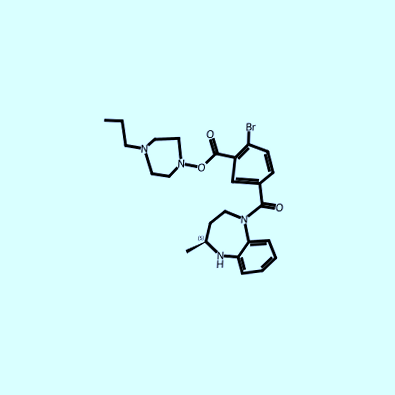 CCCN1CCN(OC(=O)c2cc(C(=O)N3CC[C@H](C)Nc4ccccc43)ccc2Br)CC1